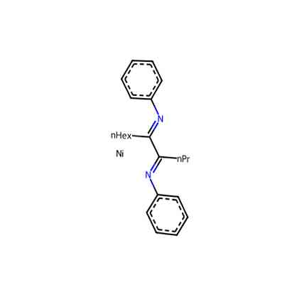 CCCCCCC(=N\c1ccccc1)/C(CCC)=N/c1ccccc1.[Ni]